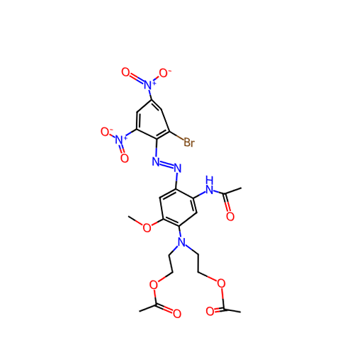 COc1cc(N=Nc2c(Br)cc([N+](=O)[O-])cc2[N+](=O)[O-])c(NC(C)=O)cc1N(CCOC(C)=O)CCOC(C)=O